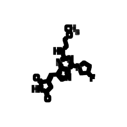 COCCNc1nc(N2CCC(F)C2)n2ncc(/C=C3\CC(=O)NC3=O)c2n1